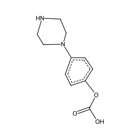 O=C(O)Oc1ccc(N2CCNCC2)cc1